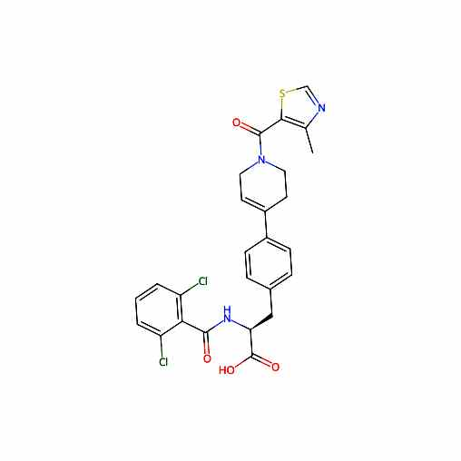 Cc1ncsc1C(=O)N1CC=C(c2ccc(C[C@H](NC(=O)c3c(Cl)cccc3Cl)C(=O)O)cc2)CC1